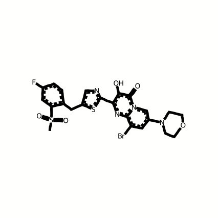 CS(=O)(=O)c1cc(F)ccc1Cc1cnc(-c2nc3c(Br)cc(N4CCOCC4)cn3c(=O)c2O)s1